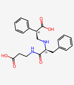 O=C(O)CCNC(=O)[C@H](Cc1ccccc1)NC[C@H](C(=O)O)c1ccccc1